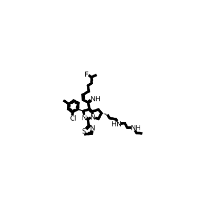 CCNCCNCCC[C@H]1CC2=C(C(=N)/C=C\CCCC(C)F)[C@H](c3ccc(C)cc3Cl)N=C(c3nccs3)N2C1